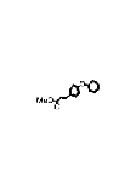 COC(=O)/C=C/c1ccc(Oc2ccccc2)cc1